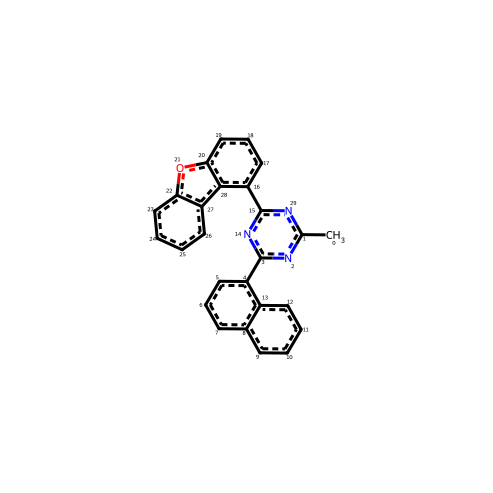 Cc1nc(-c2cccc3ccccc23)nc(-c2cccc3oc4ccccc4c23)n1